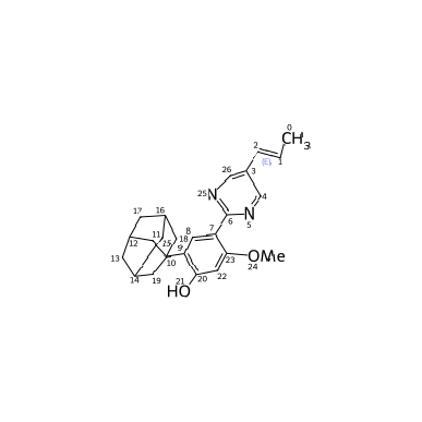 C/C=C/c1cnc(-c2cc(C34CC5CC(CC(C5)C3)C4)c(O)cc2OC)nc1